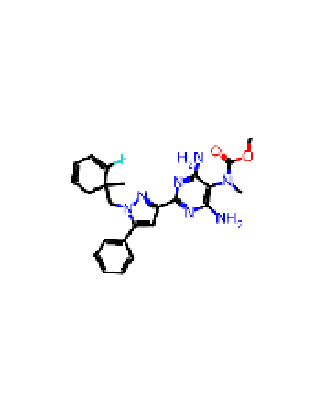 COC(=O)N(C)c1c(N)nc(-c2cc(-c3ccccc3)n(CC3(C)CC=CC=C3F)n2)nc1N